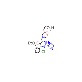 CCOC(=O)C1=C(CN2CCOC(CC(=O)O)C2)NC(c2cnccn2)=NC1c1ccc(F)cc1Cl